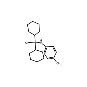 Cc1ccc(PC(Cl)(C2CCCCC2)C2CCCCC2)cc1